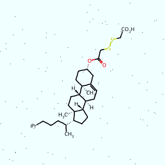 CC(C)CCCC(C)[C@H]1CC[C@H]2[C@@H]3CC=C4C[C@@H](OC(=O)CSSCC(=O)O)CC[C@]4(C)[C@H]3CC[C@]12C